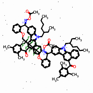 CCCCC(CC)Cn1c2ccc(/C(=N\OC(C)=O)c3ccccc3OCC(F)(F)C(F)(F)C(F)(F)C(F)(F)COc3ccccc3/C(=N/OC(C)=O)c3ccc4c(c3)c3cc(C(=O)c5c(C)cc(C)cc5C)c5ccccc5c3n4CC(CC)CCCC)cc2c2cc(C(=O)c3c(C)cc(C)cc3C)c3ccccc3c21